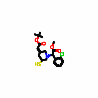 COC(=O)C(c1ccccc1Cl)N1CC(=CC(=O)OC(C)(C)C)CC(S)C1